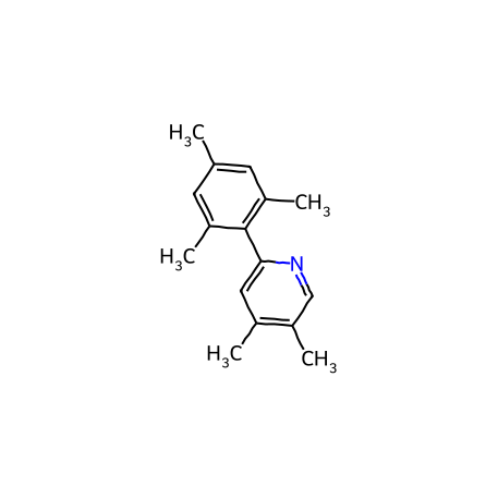 Cc1cc(C)c(-c2cc(C)c(C)cn2)c(C)c1